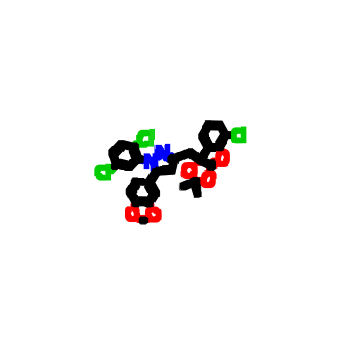 CC1(C)OC(=O)C(Cc2cc(-c3ccc4c(c3)OCO4)n(-c3cc(Cl)ccc3Cl)n2)(c2cccc(Cl)c2)O1